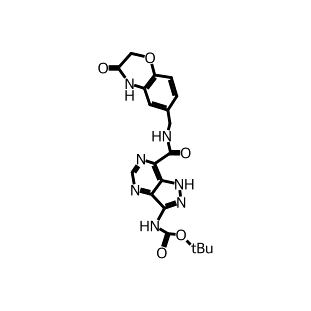 CC(C)(C)OC(=O)Nc1n[nH]c2c(C(=O)NCc3ccc4c(c3)NC(=O)CO4)ncnc12